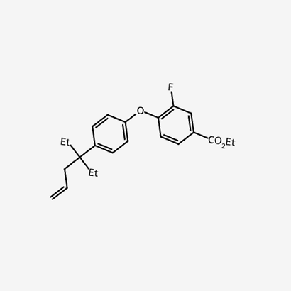 C=CCC(CC)(CC)c1ccc(Oc2ccc(C(=O)OCC)cc2F)cc1